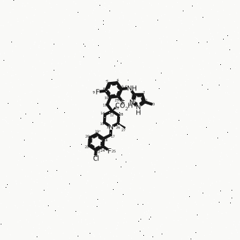 Cc1cc(Nc2ccc(F)c(C[C@@]3(C(=O)O)CCN(Cc4cccc(Cl)c4F)[C@H](C)C3)c2F)n[nH]1